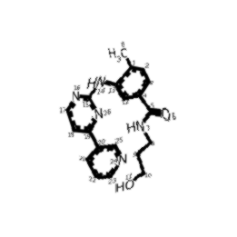 Cc1ccc(C(=O)NCCCO)cc1Nc1nccc(-c2cccnc2)n1